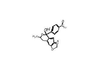 CC1Cc2cc3c(cc2C(O)(c2ccc([N+](=O)[O-])cc2)O1)OCO3